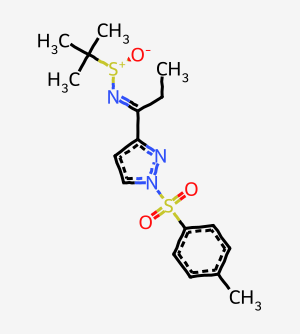 CC/C(=N\[S@+]([O-])C(C)(C)C)c1ccn(S(=O)(=O)c2ccc(C)cc2)n1